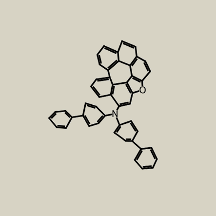 c1ccc(-c2ccc(N(c3ccc(-c4ccccc4)cc3)c3cc4oc5ccc6ccc7cccc8c7c6c5c4c4c-8cccc34)cc2)cc1